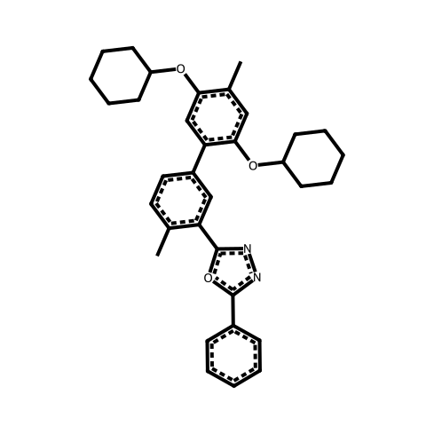 Cc1cc(OC2CCCCC2)c(-c2ccc(C)c(-c3nnc(-c4ccccc4)o3)c2)cc1OC1CCCCC1